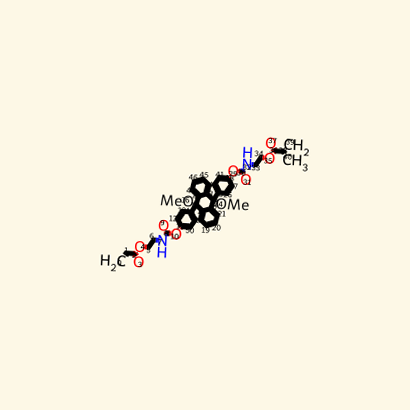 C=CC(=O)OCCNC(=O)Oc1ccc(C2(OC)c3ccccc3C(OC)(c3ccc(OC(=O)NCCOC(=O)C(=C)C)cc3)c3ccccc32)cc1